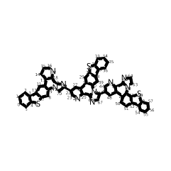 c1ccc2c(c1)sc1cc3c(cc12)c1cccnc1c1nc(-c2cnc4c(c2)c2cc5sc6ccccc6c5cc2n2c(-c5cnc6c(c5)c5ccc7c8ccccc8sc7c5n5ccnc65)cnc42)cn31